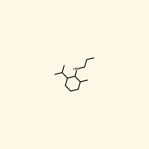 CCCNC1C(C)CCCC1C(C)C